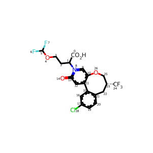 O=C(O)C(CCOC(F)F)n1cc2c(cc1=O)-c1cc(Cl)ccc1C[C@@H](C(F)(F)F)CO2